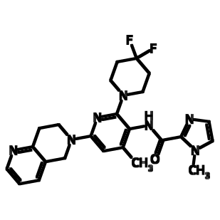 Cc1cc(N2CCc3ncccc3C2)nc(N2CCC(F)(F)CC2)c1NC(=O)c1nccn1C